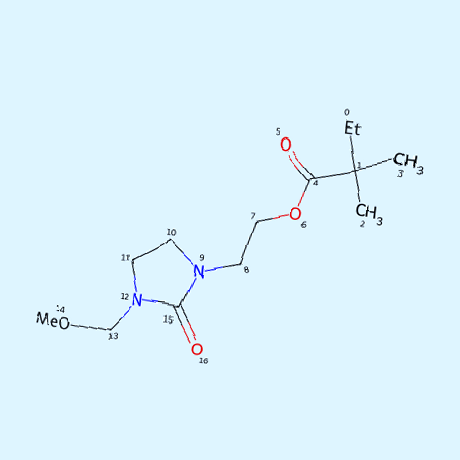 CCC(C)(C)C(=O)OCCN1CCN(COC)C1=O